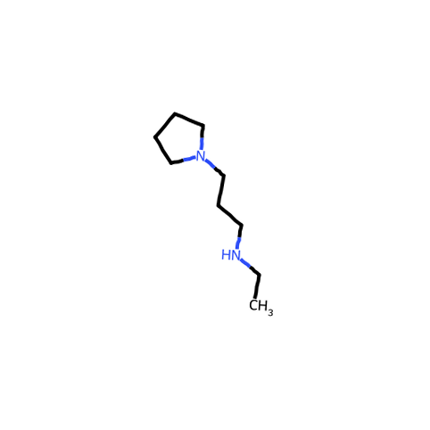 CCNCCCN1CCCC1